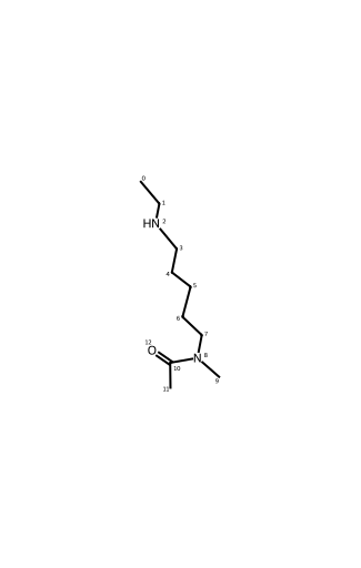 CCNCCCCCN(C)C(C)=O